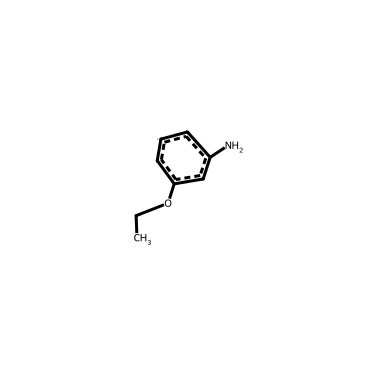 CCOc1c[c]cc(N)c1